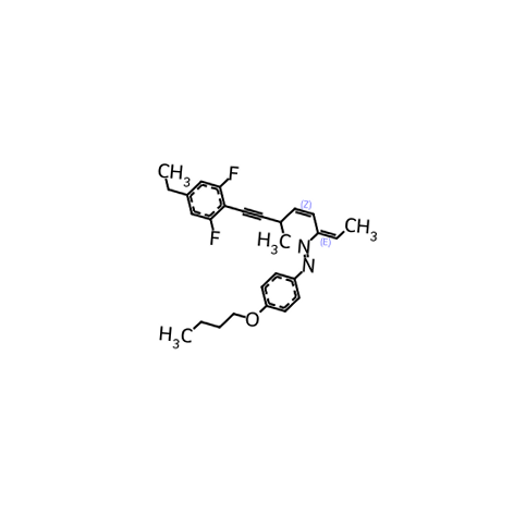 C/C=C(\C=C/C(C)C#Cc1c(F)cc(CC)cc1F)N=Nc1ccc(OCCCC)cc1